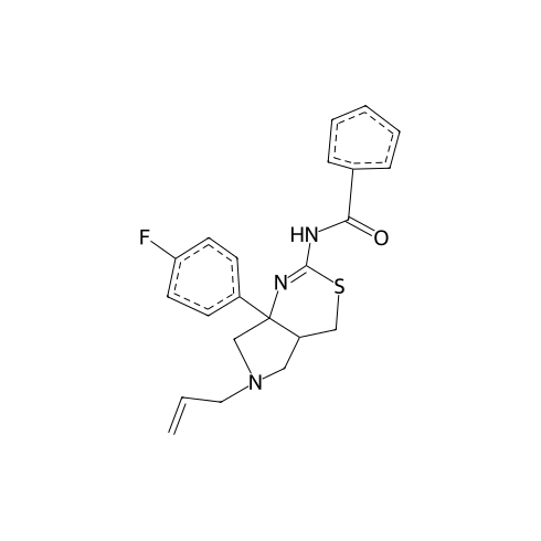 C=CCN1CC2CSC(NC(=O)c3ccccc3)=NC2(c2ccc(F)cc2)C1